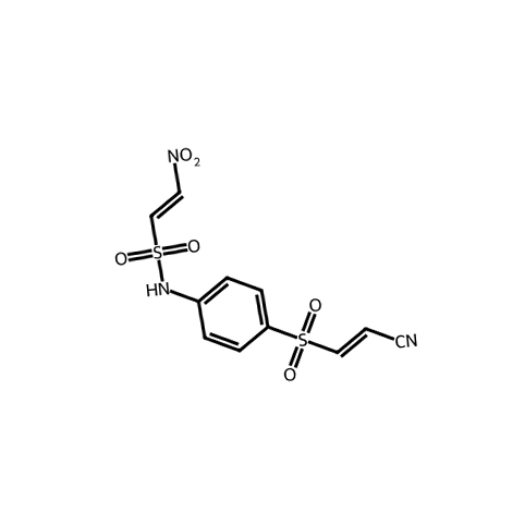 N#CC=CS(=O)(=O)c1ccc(NS(=O)(=O)C=C[N+](=O)[O-])cc1